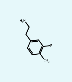 Cc1ccc(CCN)cc1F